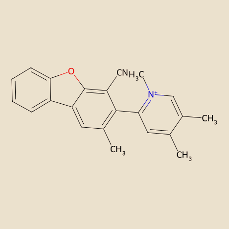 Cc1cc(-c2c(C)cc3c(oc4ccccc43)c2C#N)[n+](C)cc1C